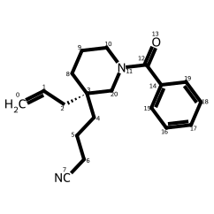 C=CC[C@]1(CCCC#N)CCCN(C(=O)c2ccccc2)C1